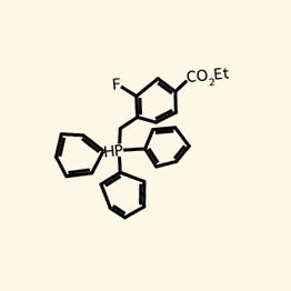 CCOC(=O)c1ccc(C[PH](c2ccccc2)(c2ccccc2)c2ccccc2)c(F)c1